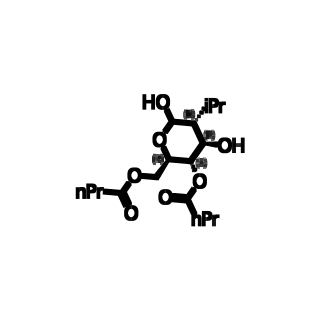 CCCC(=O)OC[C@H]1OC(O)[C@H](C(C)C)[C@@H](O)[C@@H]1OC(=O)CCC